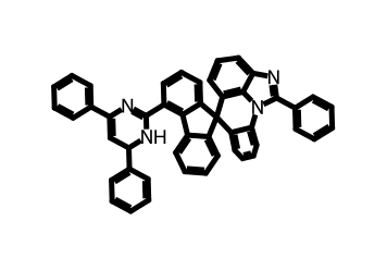 C1=C(c2ccccc2)N=C(c2cccc3c2-c2ccccc2C32c3ccccc3-n3c(-c4ccccc4)nc4cccc2c43)NC1c1ccccc1